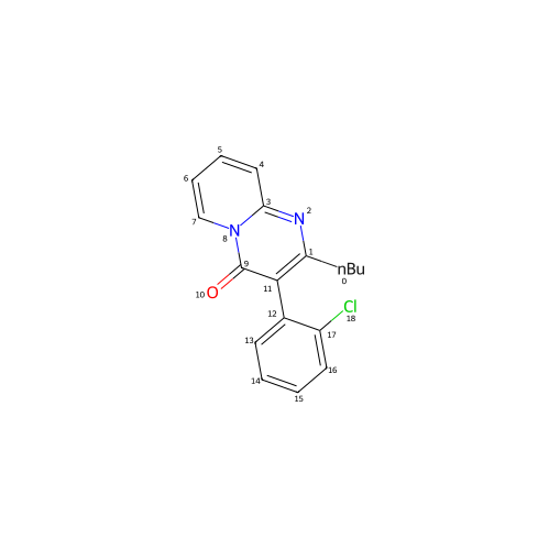 CCCCc1nc2ccccn2c(=O)c1-c1ccccc1Cl